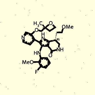 COCC[C@@H]1CNC(=O)c2c1[nH]c(-c1ccncc1OC[C@@]1(C)CCO1)c2Nc1cccc(F)c1OC